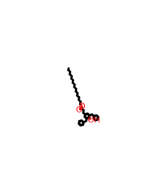 CCCCCCCCCCCCCCCCCCOC(=O)CCc1cc(Cc2ccccc2)c(O)c(Cc2ccccc2)c1